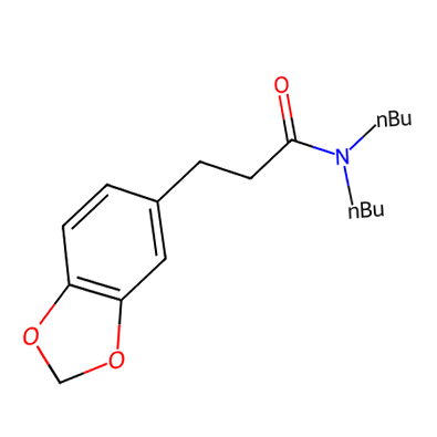 CCCCN(CCCC)C(=O)CCc1ccc2c(c1)OCO2